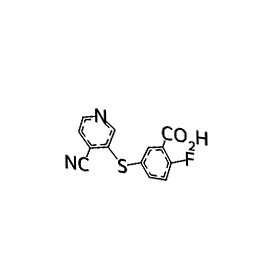 N#Cc1ccncc1Sc1ccc(F)c(C(=O)O)c1